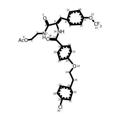 CC(=O)OCCNC(=O)/C(=C/c1ccc(OC(F)(F)F)cc1)NC(=O)c1ccc(OCCc2ccc(Cl)cc2)cc1